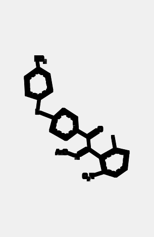 CC(=O)O/N=C(\C(=O)c1ccc(Sc2ccc([N+](=O)[O-])cc2)cc1)c1c(C)cccc1[N+](=O)[O-]